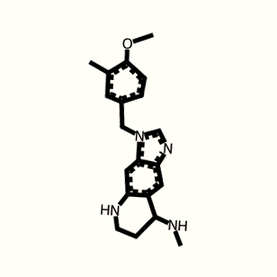 CNC1CCNc2cc3c(cc21)ncn3Cc1ccc(OC)c(C)c1